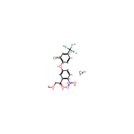 COCC(=O)c1cc(Oc2ccc(C(F)(F)F)cc2Cl)ccc1[N+](=O)[O-].[Ca+2]